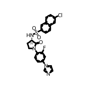 O=C1[C@@H](NS(=O)(=O)c2ccc3cc(Cl)ccc3c2)CCN1c1ccc(-n2ccnc2)cc1F